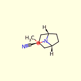 CON1[C@@H]2CC[C@H]1C[C@H](C#N)C2